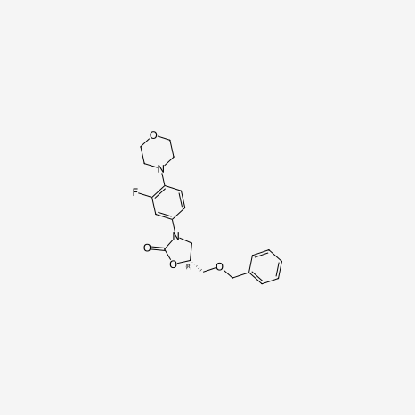 O=C1O[C@@H](COCc2ccccc2)CN1c1ccc(N2CCOCC2)c(F)c1